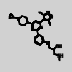 CNCC(O)COc1cccc(-c2nc(-c3c(C)noc3C)cc(N3CCN(C4CC4)CC3)n2)c1